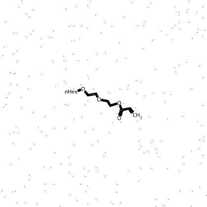 C=CC(=O)OCCOCCOCCCCCC